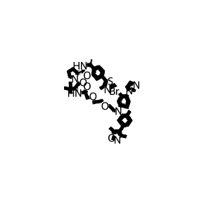 Cc1ccc(-c2c(C)noc2C)cc1N(CCOCCOCC(=O)N[C@H](C(=O)N1CCC[C@H]1C(=O)N[C@@H](C)c1ccc(-c2scnc2C)cc1)C(C)(C)C)c1ccc(-n2ccnc2)c(Br)c1